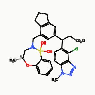 CCOC(=O)CC(c1cc2c(c(CN3C[C@@H](C)Oc4ccccc4S3(O)O)c1)CCC2)c1ccc2c(nnn2C)c1Cl